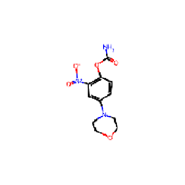 NC(=O)Oc1ccc(N2CCOCC2)cc1[N+](=O)[O-]